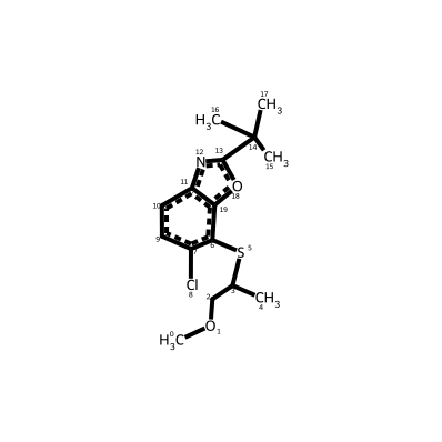 COCC(C)Sc1c(Cl)ccc2nc(C(C)(C)C)oc12